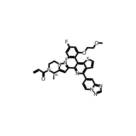 C=CC(=O)N1CCn2nc(-c3nc(-c4ccn5ncnc5c4)c4ccsc4c3-c3c(F)cc(F)cc3OCCOC)cc2[C@H]1C